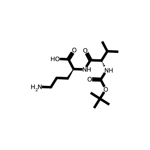 CC(C)[C@H](NC(=O)OC(C)(C)C)C(=O)N[C@@H](CCCN)C(=O)O